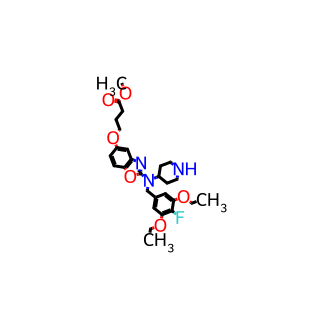 CCOc1cc(CN(c2nc3cc(OCCCC(=O)OC)ccc3o2)C2CCNCC2)cc(OCC)c1F